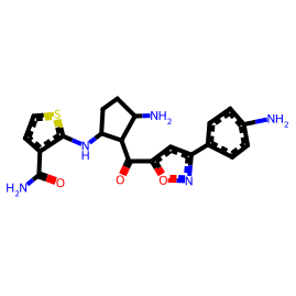 NC(=O)c1ccsc1NC1CCC(N)C1C(=O)c1cc(-c2ccc(N)cc2)no1